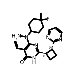 C=Cc1c(N(N)C2CCC(C)(F)CC2)nc([C@@H]2CC[C@H]2c2ncccn2)[nH]c1=O